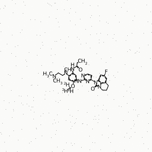 [2H]C([2H])([2H])Oc1cc(N(C)CCN(C)C)c(NC(=O)C=C)cc1Nc1nccc(-n2c(=O)n3c4c(cc(F)cc42)CCC3)n1